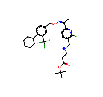 CC(=NOCc1ccc(C2CCCCC2)c(C(F)(F)F)c1)c1ccc(CNCCC(=O)OC(C)(C)C)c(Cl)n1